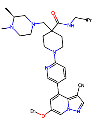 CCOc1cc(-c2ccc(N3CCC(CN4CCN(C)[C@@H](C)C4)(C(=O)NCC(C)C)CC3)nc2)c2c(C#N)cnn2c1